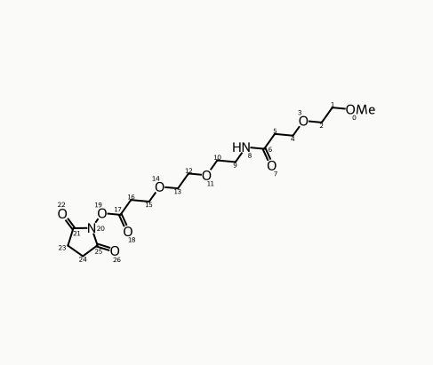 COCCOCCC(=O)NCCOCCOCCC(=O)ON1C(=O)CCC1=O